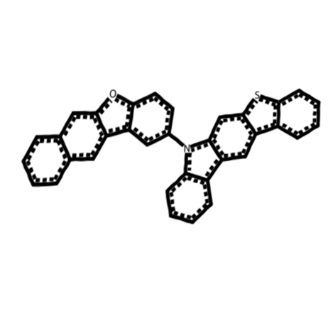 c1ccc2cc3c(cc2c1)oc1ccc(-n2c4ccccc4c4cc5c(cc42)sc2ccccc25)cc13